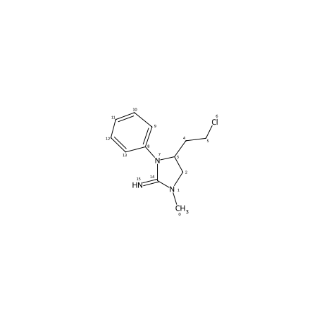 CN1CC(CCCl)N(c2ccccc2)C1=N